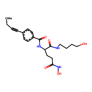 COCC#Cc1ccc(C(=O)NC(CCC(=O)NO)C(=O)NCCCCO)cc1